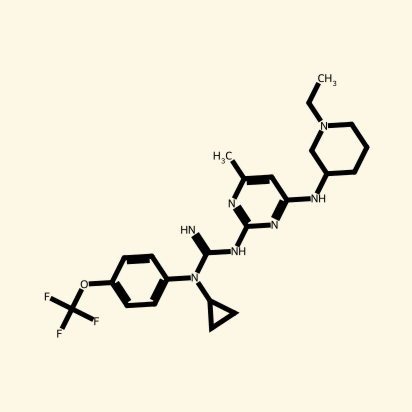 CCN1CCCC(Nc2cc(C)nc(NC(=N)N(c3ccc(OC(F)(F)F)cc3)C3CC3)n2)C1